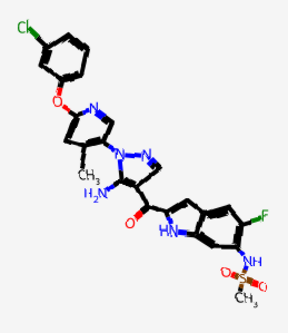 Cc1cc(Oc2cccc(Cl)c2)ncc1-n1ncc(C(=O)c2cc3cc(F)c(NS(C)(=O)=O)cc3[nH]2)c1N